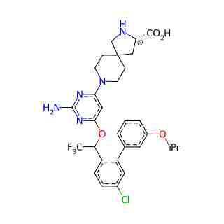 CC(C)Oc1cccc(-c2cc(Cl)ccc2C(Oc2cc(N3CCC4(CC3)CN[C@H](C(=O)O)C4)nc(N)n2)C(F)(F)F)c1